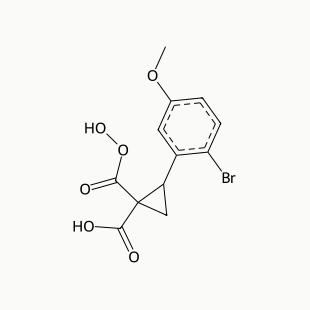 COc1ccc(Br)c(C2CC2(C(=O)O)C(=O)OO)c1